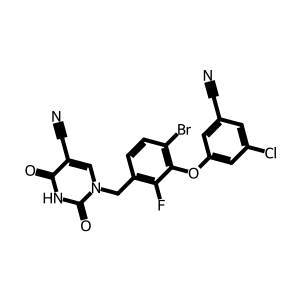 N#Cc1cc(Cl)cc(Oc2c(Br)ccc(Cn3cc(C#N)c(=O)[nH]c3=O)c2F)c1